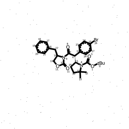 CC(C)(C)OC(=O)N1C([C@H](C(=O)N2C(=O)OCC2Cc2ccccc2)c2ccc(Br)cc2)CCC1(C)C